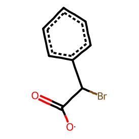 [O]C(=O)C(Br)c1ccccc1